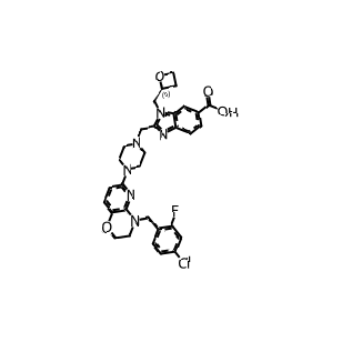 O=C(O)c1ccc2nc(CN3CCN(c4ccc5c(n4)N(Cc4ccc(Cl)cc4F)CCO5)CC3)n(C[C@@H]3CCO3)c2c1